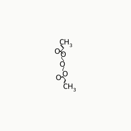 C/C=C/C(=O)OCCOCCOC(=O)/C=C/C